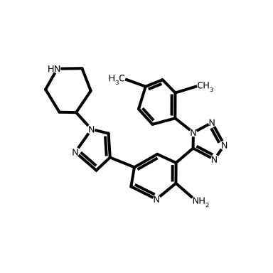 Cc1ccc(-n2nnnc2-c2cc(-c3cnn(C4CCNCC4)c3)cnc2N)c(C)c1